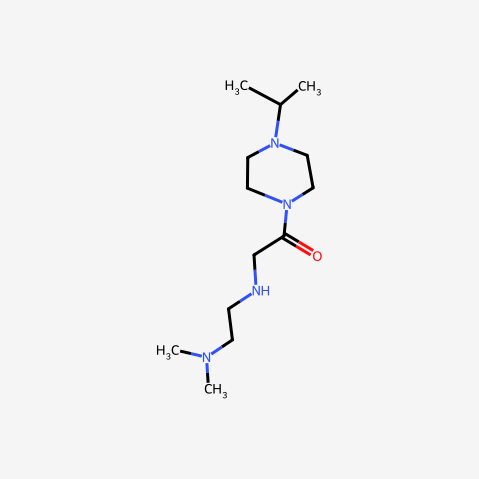 CC(C)N1CCN(C(=O)CNCCN(C)C)CC1